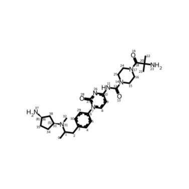 CC(Cc1ccc(-n2ccc(NC(=O)N3CCN(C(=O)C(C)(C)N)CC3)nc2=O)cc1)N(C)[C@H]1CC[C@@H](N)C1